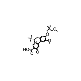 COCC1(COc2cc3c(cc2OC)-c2cc(=O)c(C(=O)O)cn2[C@H](C(C)(C)C)C3)CC1